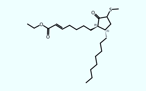 CCCCCCCC[C@H]1CC(SC)C(=O)[C@@H]1CCCCC=CC(=O)OCC